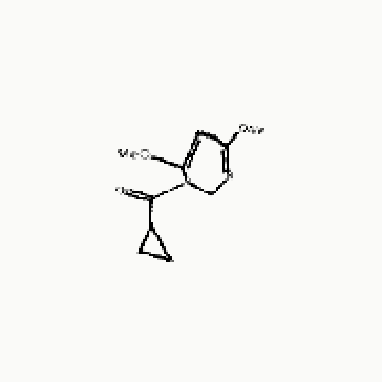 COC1=CC(OC)=NCN1C(=O)C1CC1